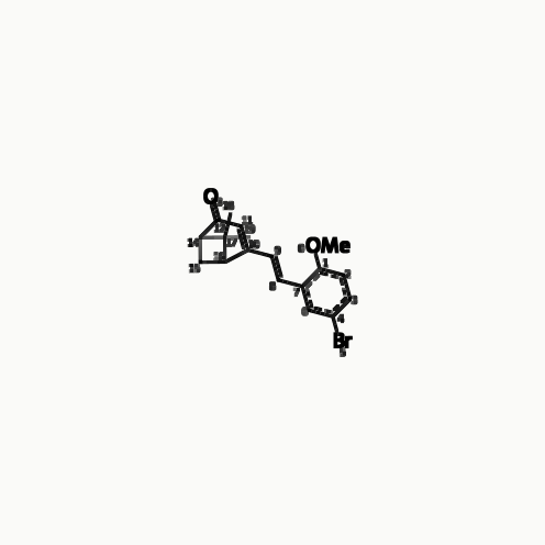 COc1ccc(Br)cc1C=CC1=CC(=O)C2CC1C2(C)C